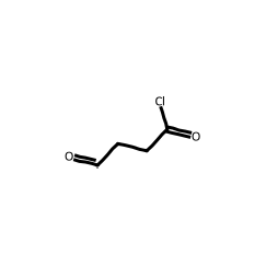 O=[C]CCC(=O)Cl